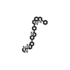 c1ccc(-c2ccc3ccc4ccc(-c5ccc(-c6ccc7cc(-c8ccc9ccc(-c%10ncccn%10)nc9c8)ccc7n6)cc5)nc4c3n2)cc1